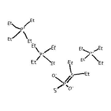 CCS(CC)=P([O-])([O-])[S-].CC[P+](CC)(CC)CC.CC[P+](CC)(CC)CC.CC[P+](CC)(CC)CC